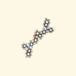 c1ccc(N(c2ccc(-c3ccc4c(c3)Oc3cccc5c(-c6ccc(N(c7ccccc7)c7ccc8ccccc8c7)cc6)ccc-4c35)cc2)c2ccc3ccccc3c2)cc1